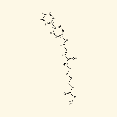 COC(=O)CCCCCNC(=O)C=CC=Cc1ccc(-c2ccccc2)cc1